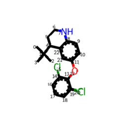 CC(C)(C)C1CCNc2ccc(Oc3c(Cl)cccc3Cl)cc21